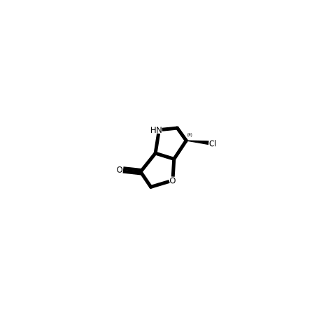 O=C1COC2C1NC[C@H]2Cl